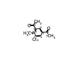 CC(=O)c1cc[n+](C)c(C(C)=O)c1.[Cl-]